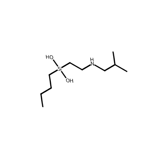 CCCC[Si](O)(O)CCNCC(C)C